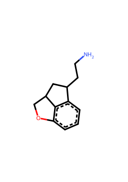 NCCC1CC2COc3cccc1c32